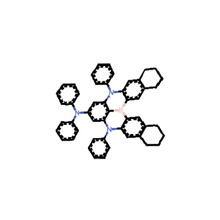 c1ccc(N(c2ccccc2)c2cc3c4c(c2)N(c2ccccc2)c2cc5c(cc2B4c2cc4c(cc2N3c2ccccc2)CCCC4)CCCC5)cc1